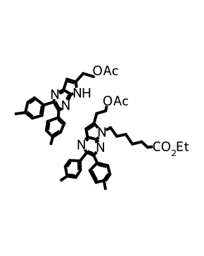 CC(=O)OCCc1cc2nc(-c3ccc(C)cc3)c(-c3ccc(C)cc3)nc2[nH]1.CCOC(=O)CCCCCCn1c(CCOC(C)=O)cc2nc(-c3ccc(C)cc3)c(-c3ccc(C)cc3)nc21